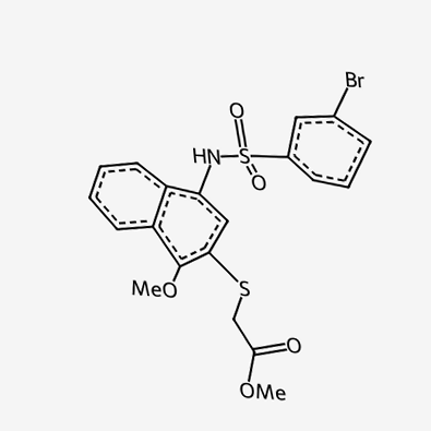 COC(=O)CSc1cc(NS(=O)(=O)c2cccc(Br)c2)c2ccccc2c1OC